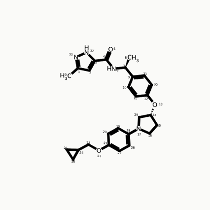 Cc1cc(C(=O)N[C@@H](C)c2ccc(O[C@@H]3CCN(c4ccc(OCC5CC5)cc4)C3)cc2)[nH]n1